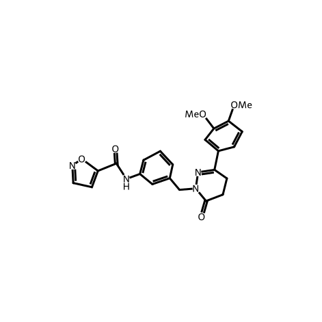 COc1ccc(C2=NN(Cc3cccc(NC(=O)c4ccno4)c3)C(=O)CC2)cc1OC